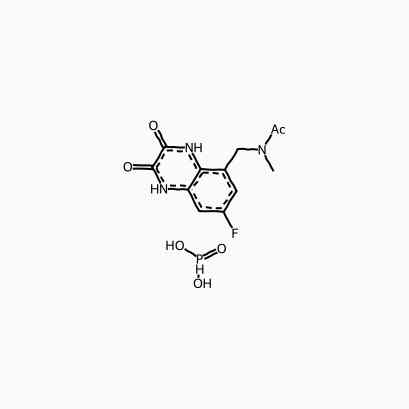 CC(=O)N(C)Cc1cc(F)cc2[nH]c(=O)c(=O)[nH]c12.O=[PH](O)O